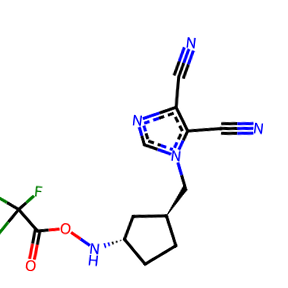 N#Cc1ncn(C[C@H]2CC[C@H](NOC(=O)C(F)(F)F)C2)c1C#N